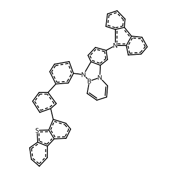 C1=CB2N(C=C1)c1cc(-n3c4ccccc4c4ccccc43)ccc1N2c1cccc(-c2cccc(-c3cccc4c3sc3ccccc34)c2)c1